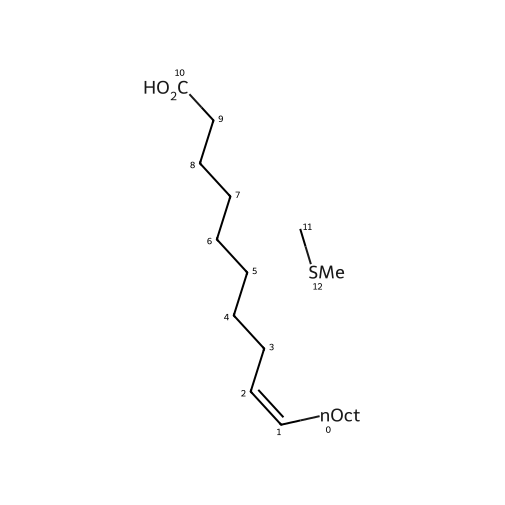 CCCCCCCC/C=C\CCCCCCCC(=O)O.CSC